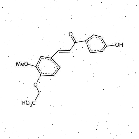 COc1cc(/C=C/C(=O)c2ccc(O)cc2)ccc1OCC(=O)O